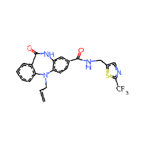 C=CCN1c2ccc(C(=O)NCc3cnc(C(F)(F)F)s3)cc2NC(=O)c2ccccc21